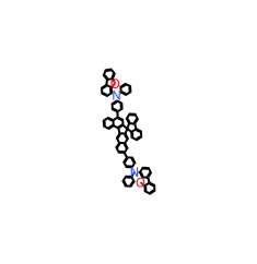 c1ccc(N(c2ccc(-c3ccc4cc5c(cc4c3)C3(c4ccccc4-c4ccccc43)c3cc(-c4ccc(N(c6ccccc6)c6cccc7c6oc6ccccc67)cc4)c4ccccc4c3-5)cc2)c2cccc3c2oc2ccccc23)cc1